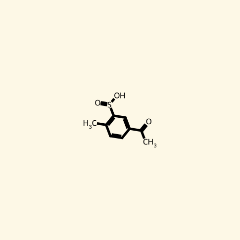 CC(=O)c1ccc(C)c(S(=O)O)c1